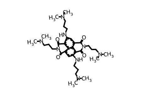 CN(C)CCCNc1cc2c3c(c(NCCCN(C)C)cc4c3c1C(=O)N(CCCN(C)C)C4=O)C(=O)N(CCCN(C)C)C2=O